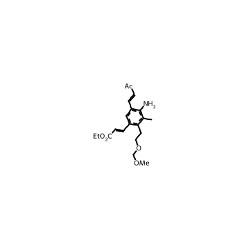 CCOC(=O)/C=C/c1cc(/C=C/C(C)=O)c(N)c(C)c1CCOCOC